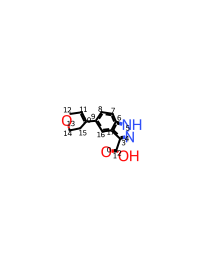 O=C(O)c1n[nH]c2ccc(C3=CCOCC3)cc12